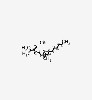 C=C(C)C(=O)OCC[N+](C)(C)CCCCCCCC.[Cl-]